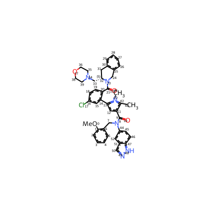 COc1ccccc1CN(C(=O)c1cc(-c2cc(Cl)ccc2C(=O)N2Cc3ccccc3C[C@H]2CN2CCOCC2)n(C)c1C)c1ccc2[nH]ncc2c1